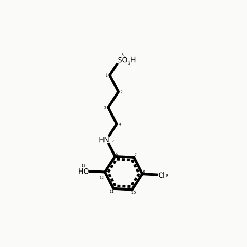 O=S(=O)(O)CCCCNc1cc(Cl)ccc1O